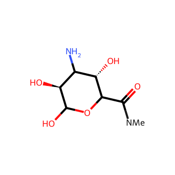 CNC(=O)C1OC(O)[C@@H](O)C(N)[C@@H]1O